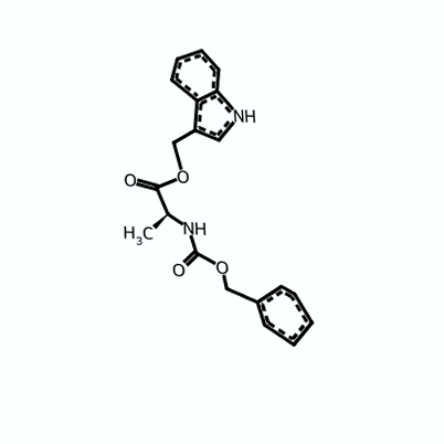 C[C@H](NC(=O)OCc1ccccc1)C(=O)OCc1c[nH]c2ccccc12